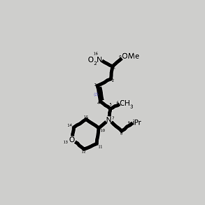 COC(C/C=C\C(C)N(CC(C)C)C1CCOCC1)[N+](=O)[O-]